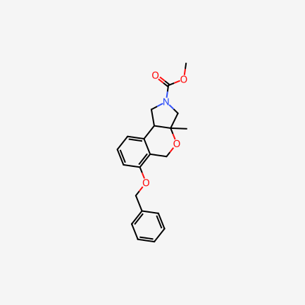 COC(=O)N1CC2c3cccc(OCc4ccccc4)c3COC2(C)C1